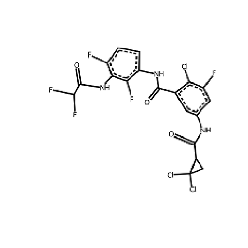 O=C(Nc1ccc(F)c(NC(=O)C(F)F)c1F)c1cc(NC(=O)C2CC2(Cl)Cl)cc(F)c1Cl